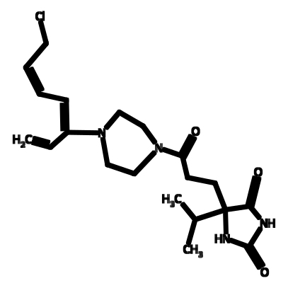 C=C/C(=C\C=C/CCl)N1CCN(C(=O)CCC2(C(C)C)NC(=O)NC2=O)CC1